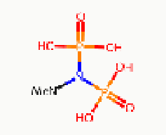 CNN(P(=O)(O)O)P(=O)(O)O